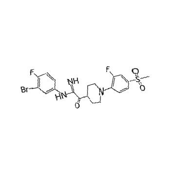 CS(=O)(=O)c1ccc(N2CCC(C(=O)C(=N)Nc3ccc(F)c(Br)c3)CC2)c(F)c1